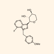 COc1ccc(Cn2cc([C@@H]3OCC[C@H](O)[C@H]3O)c3cccc(F)c32)cc1